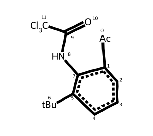 CC(=O)c1cccc(C(C)(C)C)c1NC(=O)C(Cl)(Cl)Cl